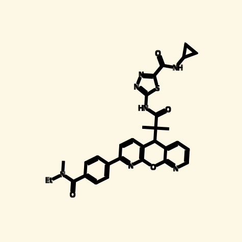 CCN(C)C(=O)c1ccc(-c2ccc3c(n2)Oc2ncccc2C3C(C)(C)C(=O)Nc2nnc(C(=O)NC3CC3)s2)cc1